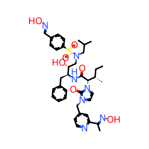 CC[C@H](C)[C@@H](C(=O)N[C@@H](Cc1ccccc1)[C@H](O)CN(CC(C)C)S(=O)(=O)c1ccc(/C=N/O)cc1)n1ccn(Cc2ccnc(C(C)=NO)c2)c1=O